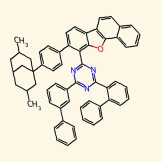 CC1CC2CC(C)CC(c3ccc(-c4ccc5c(oc6c7ccccc7ccc56)c4-c4nc(-c5cccc(-c6ccccc6)c5)nc(-c5ccccc5-c5ccccc5)n4)cc3)(C1)C2